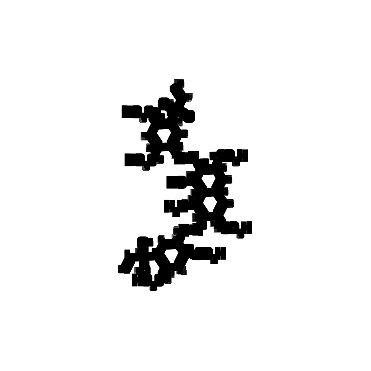 C=CS(=O)(=O)c1cc(N=Nc2c(S(=O)(=O)O)cc3cc(S(=O)(=O)O)c(N=Nc4cc(S(=O)(=O)C=C)c(S(=O)(=O)O)cc4S(=O)(=O)O)c(O)c3c2N)c(S(=O)(=O)O)cc1S(=O)(=O)O